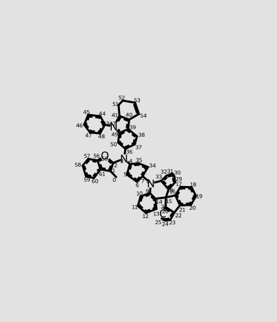 Cc1c(N(c2ccc(N3c4ccccc4C4(c5ccccc5-c5ccccc54)c4ccccc43)cc2)c2ccc3c4c(n(-c5ccccc5)c3c2)CCC=C4)oc2ccccc12